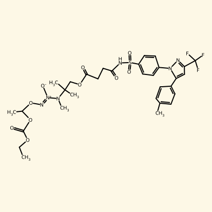 CCOC(=O)OC(C)ON=[N+]([O-])N(C)C(C)(C)COC(=O)CCC(=O)NS(=O)(=O)c1ccc(-n2nc(C(F)(F)F)cc2-c2ccc(C)cc2)cc1